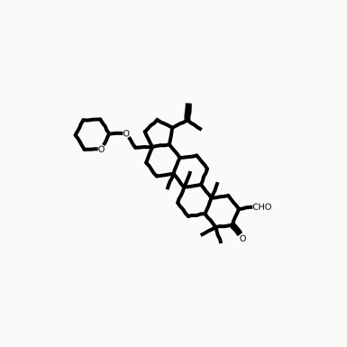 C=C(C)C1CCC2(COC3CCCCO3)CCC3(C)C(CCC4C5(C)CC(C=O)C(=O)C(C)(C)C5CCC43C)C12